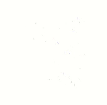 CC(=O)OC(NC(=O)C(=NOCc1ccccc1)c1csc(N)n1)C1=C(C(=O)O)N2C(=O)C[C@H]2SC1